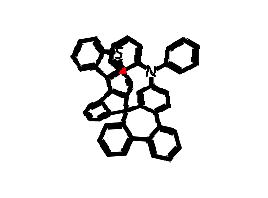 c1ccc(N(c2ccccc2)c2ccc3c(c2)C2(c4ccccc4-c4ccccc4-3)c3ccccc3-c3c2ccc2sc4ccccc4c32)cc1